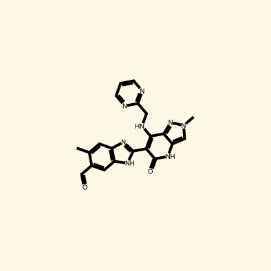 Cc1cc2nc(-c3c(NCc4ncccn4)c4nn(C)cc4[nH]c3=O)[nH]c2cc1C=O